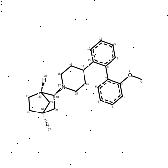 COc1ccccc1-c1ccccc1C1CCN([C@H]2C[C@H]3CC[C@H]2C3)CC1